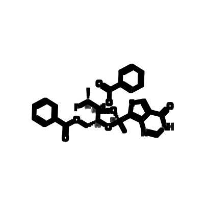 CO[C@](C)(O[C@H](COC(=O)c1ccccc1)[C@@H](OC(=O)c1ccccc1)[C@@H](C)F)c1scc2c(=O)[nH]cnc12